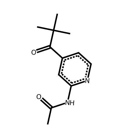 CC(=O)Nc1cc(C(=O)C(C)(C)C)ccn1